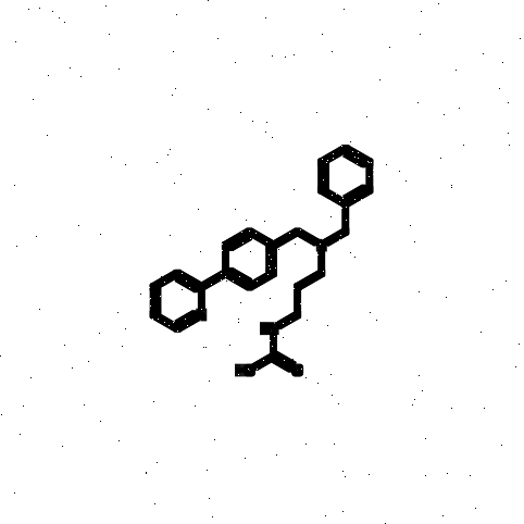 O=C(O)NCCCN(Cc1ccccc1)Cc1ccc(-c2ccccn2)cc1